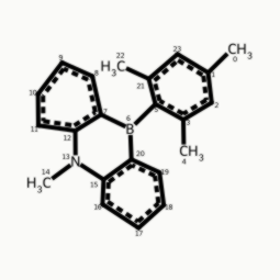 Cc1cc(C)c(B2c3ccccc3N(C)c3ccccc32)c(C)c1